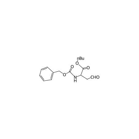 CCCCOC(=O)C(CC=O)NC(=O)OCc1ccccc1